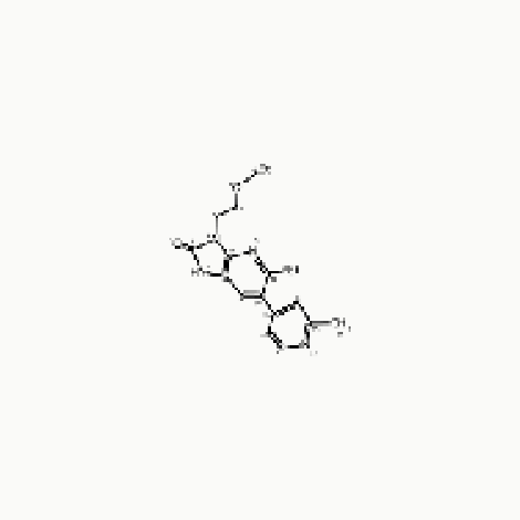 CCOCCn1c(=O)[nH]c2cc(-c3ccnc(C)c3)c(CC)nc21